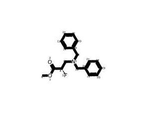 COC(=O)[C@@H](F)CN(Cc1ccccc1)Cc1ccccc1